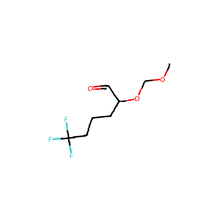 COCOC(C=O)CCCC(F)(F)F